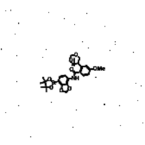 COc1ccc(C(=O)Nc2ccc(B3OC(C)(C)C(C)(C)O3)c3c2OCO3)c(C2COCCN2)c1